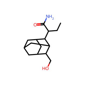 CCC(C(N)=O)C1C2CC3CC(C2)C(CO)C1C3